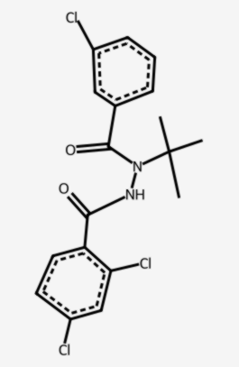 CC(C)(C)N(NC(=O)c1ccc(Cl)cc1Cl)C(=O)c1cccc(Cl)c1